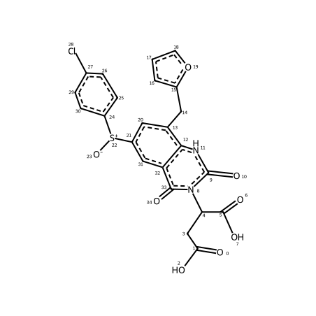 O=C(O)CC(C(=O)O)n1c(=O)[nH]c2c(Cc3ccco3)cc([S+]([O-])c3ccc(Cl)cc3)cc2c1=O